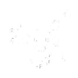 FC1(F)c2ccc(N3c4cc5c(cc4B4c6cc(C78CCC(CC7)CC8)ccc6N(c6ccc(C78CCC(CC7)CC8)cc6)c6cccc3c64)C(F)(F)C(F)(F)C(F)(F)C5(F)F)cc2C(F)(F)C(F)(F)C1(F)F